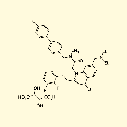 CCN(CC)Cc1ccc2c(=O)cc(CCc3cccc(F)c3F)n(CC(=O)N(C)Cc3ccc(-c4ccc(C(F)(F)F)cc4)cc3)c2c1.O=C(O)C(O)C(O)C(=O)O